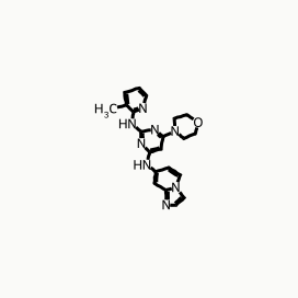 Cc1cccnc1Nc1nc(Nc2ccn3ccnc3c2)cc(N2CCOCC2)n1